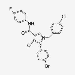 O=C(Nc1ccc(F)cc1)c1cn(Cc2ccc(Cl)cc2)n(-c2ccc(Br)cc2)c1=O